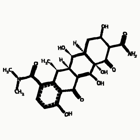 C[C@H]1c2c(C(=O)N(C)C)ccc(O)c2C(=O)C2=C(O)[C@]3(O)C(=O)C(C(N)=O)C(O)C[C@@H]3[C@@H](O)[C@@H]21